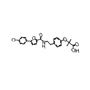 CC(C)(Oc1ccc(CCNC(=O)c2ccc(-c3ccc(Cl)cc3)o2)cc1)C(=O)O